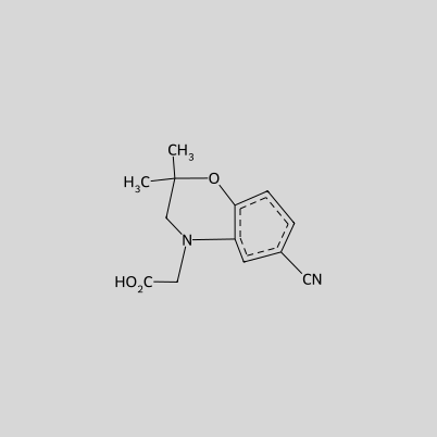 CC1(C)CN(CC(=O)O)c2cc(C#N)ccc2O1